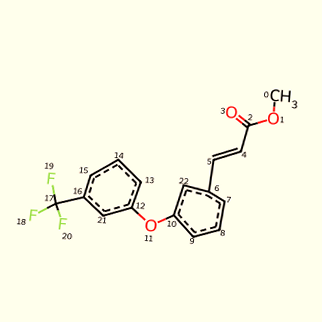 COC(=O)C=Cc1cccc(Oc2cccc(C(F)(F)F)c2)c1